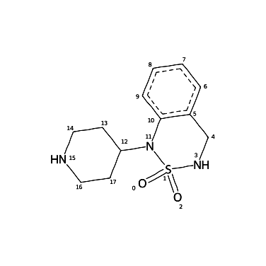 O=S1(=O)NCc2ccccc2N1C1CCNCC1